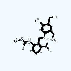 CCc1cc(CC)c(OCc2c(NC(=S)OC)cccc2C(F)F)cc1C